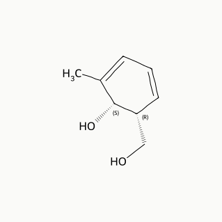 CC1=CC=C[C@H](CO)[C@@H]1O